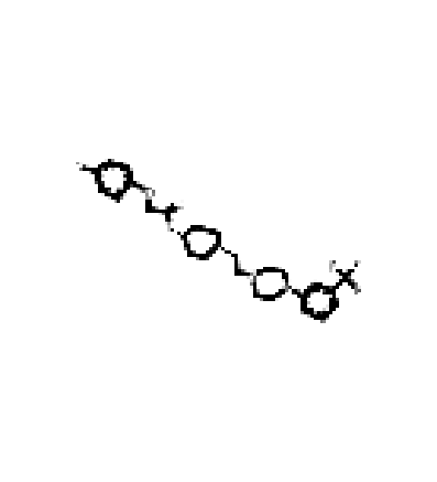 O=C(COc1ccc(F)cc1)N[C@H]1CC[C@H](CCN2CCN(c3cccc(C(F)(F)F)c3)CC2)CC1